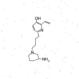 C=Cc1nc(CCCCN2CCCC(N)C2)ccc1O